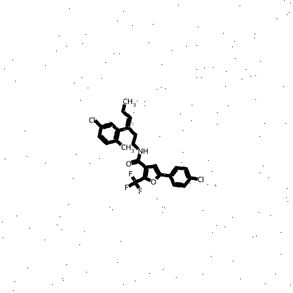 CC/C=C(/CCNC(=O)c1cc(-c2ccc(Cl)cc2)oc1C(F)(F)F)c1cc(Cl)ccc1C